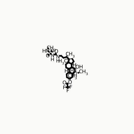 CC[C@H]1[C@@H](O)[C@@H]2[C@H](CC[C@]3(C)[C@@H]([C@H](C)CCNC(=O)NS(=O)(=O)NC)CC[C@@H]23)[C@@]2(C)CC[C@@H](OC(=O)C(F)(F)F)C[C@@H]12